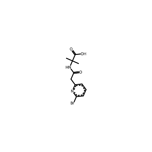 CC(C)(NC(=O)Cc1cccc(Br)n1)C(=O)O